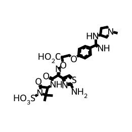 CN1CCC(NC(=N)c2ccc(OCC(ON=C(C(=O)NC3C(=O)N(S(=O)(=O)O)C3(C)C)c3csc(N)n3)C(=O)O)cc2)C1